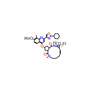 CCOC(=O)C12CC1/C=C\CCCCN(C)C(=O)C1CC(Oc3cc(-c4csc(C5CCCCC5)n4)nc4c(C)c(OC)ccc34)CC1C(=O)N2